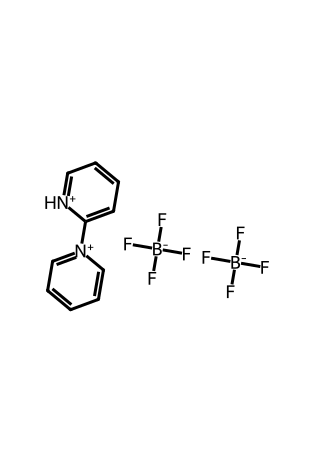 F[B-](F)(F)F.F[B-](F)(F)F.c1cc[n+](-c2cccc[nH+]2)cc1